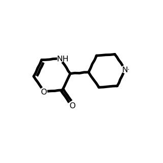 O=C1OC=CNC1C1CC[N]CC1